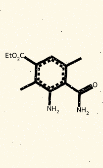 CCOC(=O)c1cc(C)c(C(N)=O)c(N)c1C